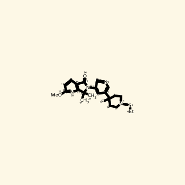 CCSN1CCC(F)(c2cncc(N3C(=O)c4ccc(OC)nc4C3(C)C)c2)CC1